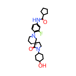 O=C(Nc1ccc(N2CCC[C@]3(CCN(C4CCC(O)CC4)C3=O)C2)c(F)c1)C1CCCC1